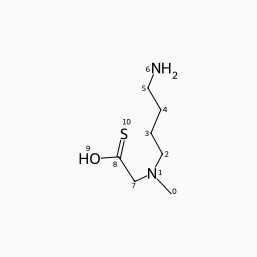 CN(CCCCN)CC(O)=S